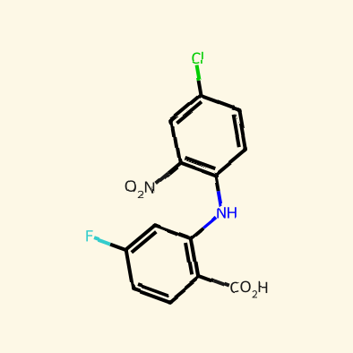 O=C(O)c1ccc(F)cc1Nc1ccc(Cl)cc1[N+](=O)[O-]